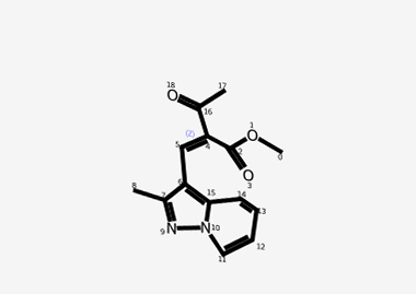 COC(=O)/C(=C\c1c(C)nn2ccccc12)C(C)=O